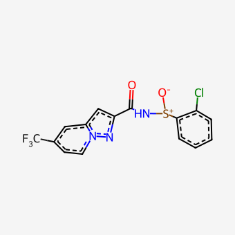 O=C(N[S+]([O-])c1ccccc1Cl)c1cc2cc(C(F)(F)F)ccn2n1